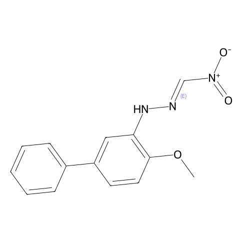 COc1ccc(-c2ccccc2)cc1N/N=C/[N+](=O)[O-]